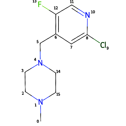 CN1CCN(Cc2cc(Cl)ncc2F)CC1